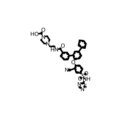 N#Cc1cc(S(=O)(=O)Nc2ncns2)ccc1Oc1ccc(-c2ccccc2)cc1-c1cccc(C(=O)NCCN2CCN(C(=O)O)CC2)c1